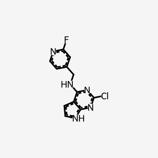 Fc1cc(CNc2nc(Cl)nc3[nH]ccc23)ccn1